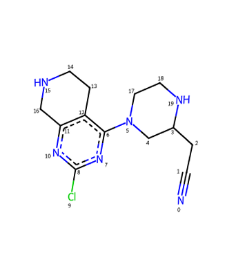 N#CCC1CN(c2nc(Cl)nc3c2CCNC3)CCN1